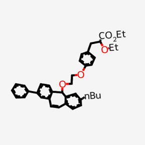 CCCCc1ccc2c(c1)C(OCCOc1ccc(CC(OCC)C(=O)OCC)cc1)c1ccc(-c3ccccc3)cc1C=C2